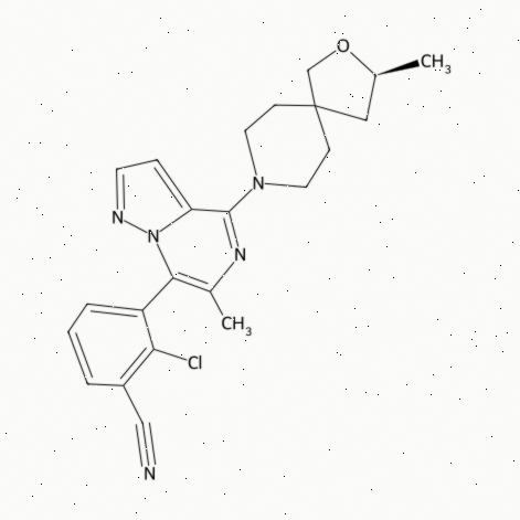 Cc1nc(N2CCC3(CC2)CO[C@@H](C)C3)c2ccnn2c1-c1cccc(C#N)c1Cl